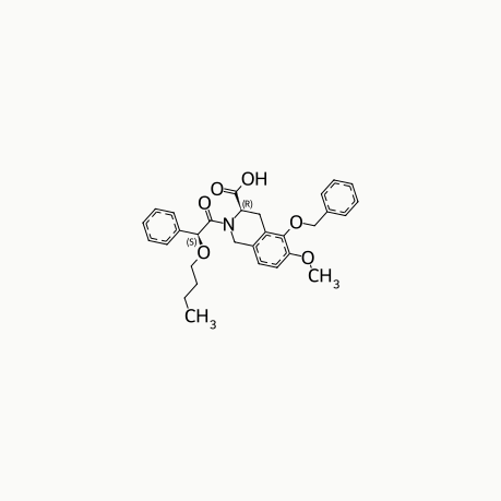 CCCCO[C@H](C(=O)N1Cc2ccc(OC)c(OCc3ccccc3)c2C[C@@H]1C(=O)O)c1ccccc1